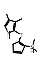 Cc1c[nH][c]([Ti][C]2=C([SiH](C)C)C=CC2)c1C